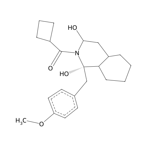 COc1ccc(C[C@]2(O)C3CCCCC3CC(O)N2C(=O)C2CCC2)cc1